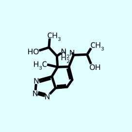 CC(O)C(N)C1=CC=C2N=NN=C2C1(C)C(N)C(C)O